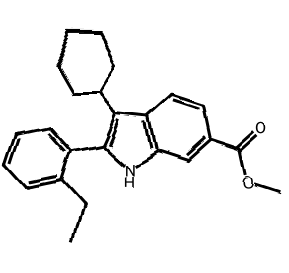 CCc1ccccc1-c1[nH]c2cc(C(=O)OC)ccc2c1C1CCCCC1